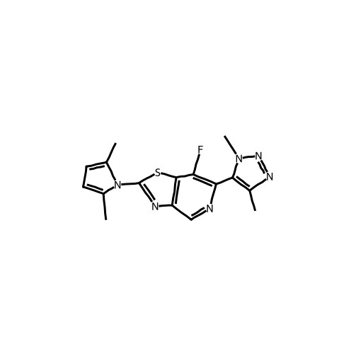 Cc1nnn(C)c1-c1ncc2nc(-n3c(C)ccc3C)sc2c1F